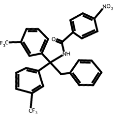 O=C(NC(Cc1ccccc1)(c1cccc(C(F)(F)F)c1)c1cccc(C(F)(F)F)c1)c1ccc([N+](=O)[O-])cc1